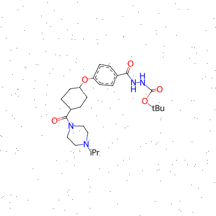 CC(C)N1CCN(C(=O)C2CCC(Oc3ccc(C(=O)NNC(=O)OC(C)(C)C)cc3)CC2)CC1